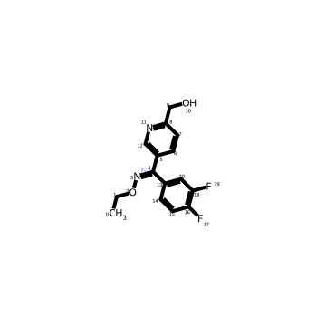 CCO/N=C(/c1ccc(CO)nc1)c1ccc(F)c(F)c1